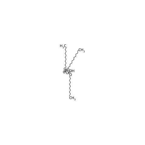 CCCCCCCCCCCCOP(O)OP(=O)(OCCCCCCCCCCCC)OCCCCCCCCCCCC